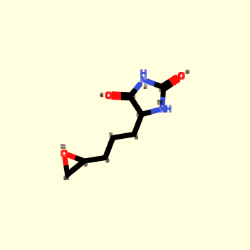 O=C1NC(=O)C(CCCC2CO2)N1